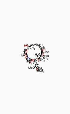 CO[C@@H]1CC(C[C@@H](C)[C@@H]2CC(=O)[C@H](C)/C=C(\C)C(O[Si](C)(C)C(C)(C)C)[C@@H](OC)C(=O)[C@H](C)C[C@H](C)/C=C/C=C/C=C(\C)[C@@H](O)C[C@@H]3CC[C@@H](C)C(O3)C(=O)C(=O)N3CCCC[C@H]3C(=O)O2)CCC1O[Si](C)(C)C(C)(C)C